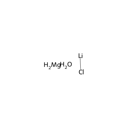 O.[Li][Cl].[MgH2]